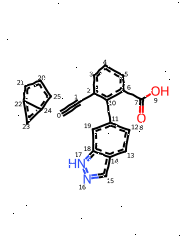 C#Cc1cccc(C(=O)O)c1-c1ccc2cn[nH]c2c1.c1cc2cc-2c1